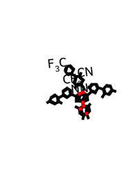 Cc1ccc(-c2ccc3c(c2)c2cc(-c4ccc(C)cc4C)ccc2n3-c2cc(C#N)c(-c3ccc(C(F)(F)F)cc3C(F)(F)F)cc2-n2c3ccc(-c4ccc(C)cc4C)cc3c3cc(-c4ccc(C)cc4C)ccc32)c(C)c1